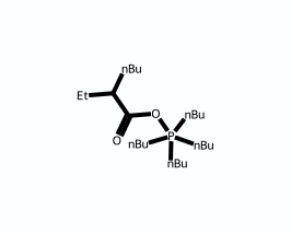 CCCCC(CC)C(=O)OP(CCCC)(CCCC)(CCCC)CCCC